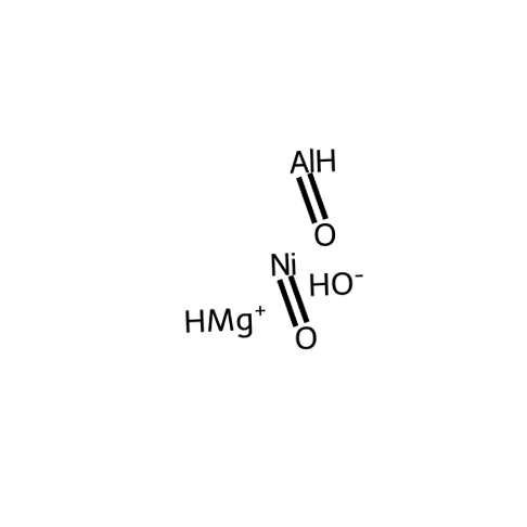 [MgH+].[OH-].[O]=[AlH].[O]=[Ni]